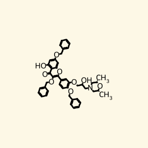 C[C@@H]1CN(CC(O)COc2cc(-c3oc4cc(OCc5ccccc5)cc(O)c4c(=O)c3OCc3ccccc3)ccc2OCc2ccccc2)C[C@H](C)O1